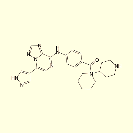 O=C(c1ccc(Nc2ncc(-c3cn[nH]c3)n3ncnc23)cc1)[N+]1(C2CCNCC2)CCCCC1